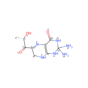 C[C@H](O)C(=O)C1=NC2=C(NC1)NC(N)(N)NC2=O